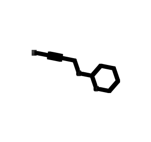 [Li][C]#CCOC1CCCCO1